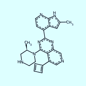 Cc1cc2c(-c3nc(N4CCNC[C@H]4C)c4c(C5=CC=C5)cncc4n3)ccnc2[nH]1